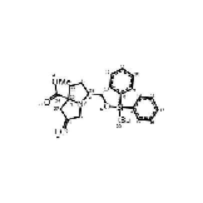 C=C1CN2[C@H](CO[Si](c3ccccc3)(c3ccccc3)C(C)(C)C)CC[C@@]2(C(=O)OC)C1